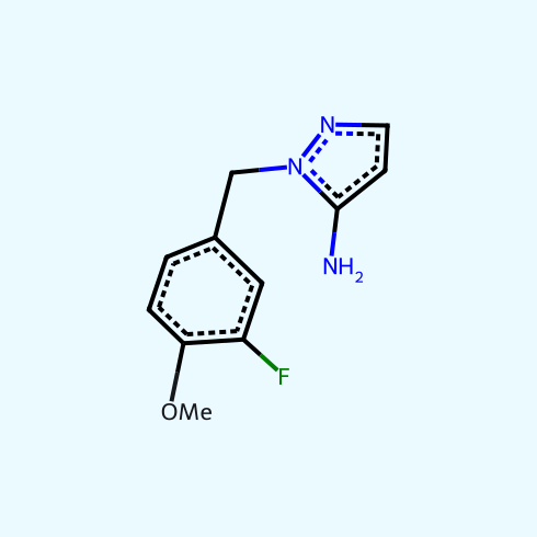 COc1ccc(Cn2nccc2N)cc1F